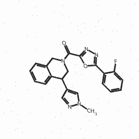 Cn1cc(C2CN(C(=O)c3nnc(-c4ccccc4F)o3)Cc3ccccc32)cn1